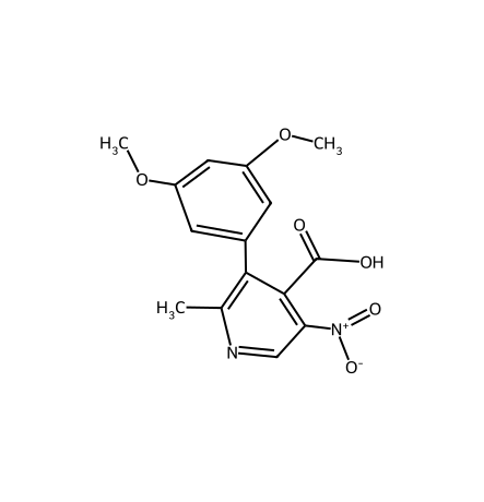 COc1cc(OC)cc(-c2c(C)ncc([N+](=O)[O-])c2C(=O)O)c1